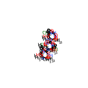 C[C@@H]1[C@@H](C)C[C@H](N(C)C)C[C@](C)(O)[C@@H]2CC[C@H]2CN2C[C@@]3(CCCc4cc(Cl)ccc43)COc3c(CN(C)[C@@H]4C[C@H](C)[C@@H](C)S(=O)(=O)NC(=O)c5cc(CN(C)[C@H]6C[C@H](C)[C@@H](C)S(=O)(=O)NC(=O)c7ccc8c(c7)N(C[C@@H]7CC[C@H]7[C@](C)(O)C6)C[C@@]6(CCCc7cc(Cl)ccc76)CO8)c6c(c5)N(C[C@@H]5CC[C@H]5[C@](C)(O)C4)C[C@@]4(CCCc5cc(Cl)ccc54)CO6)cc(cc32)C(=O)NS1(=O)=O